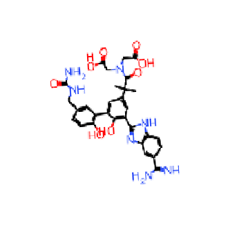 CC(C)(C(=O)N(CC(=O)O)CC(=O)O)c1cc(-c2nc3cc(C(=N)N)ccc3[nH]2)c(O)c(-c2cc(CNC(N)=O)ccc2O)c1